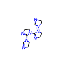 C1=NCCN1C1=NCCN1C1=NCCN1N1C=NCC1